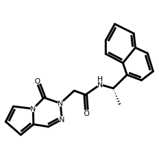 C[C@H](NC(=O)Cn1ncc2cccn2c1=O)c1cccc2ccccc12